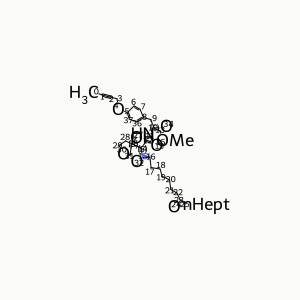 CC#CCOc1ccc(C[C@H](NC(=O)[C@@H](/C=C/CCCCCCC(=O)CCCCCCC)[C@@]2(O)CCOC2=O)C(=O)OC)cc1